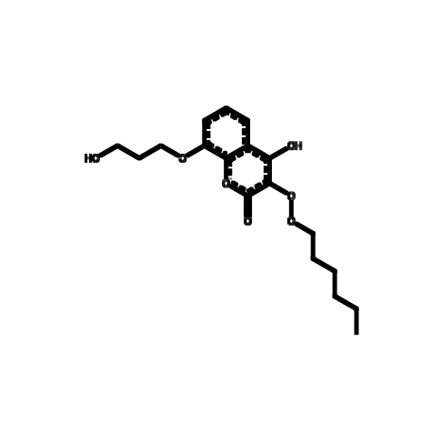 CCCCCCOOc1c(O)c2cccc(OCCCO)c2oc1=O